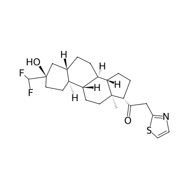 C[C@]12CC[C@H]3[C@@H](CC[C@H]4C[C@@](O)(C(F)F)CC[C@@H]43)[C@@H]1CC[C@@H]2C(=O)Cc1nccs1